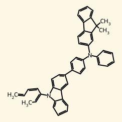 C=C/C=C\C(=C/C)n1c2ccccc2c2cc(-c3ccc(N(c4ccccc4)c4ccc5c(c4)C(C)(C)c4ccccc4-5)cc3)ccc21